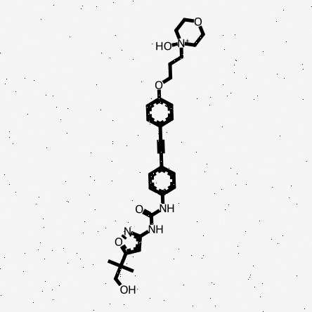 CC(C)(CO)c1cc(NC(=O)Nc2ccc(C#Cc3ccc(OCCC[N+]4(O)CCOCC4)cc3)cc2)no1